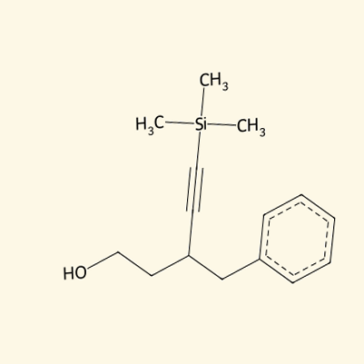 C[Si](C)(C)C#CC(CCO)Cc1ccccc1